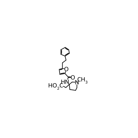 CN1CCCC(CC(=O)O)(NC(=O)c2ccc(CCc3ccccc3)o2)C1